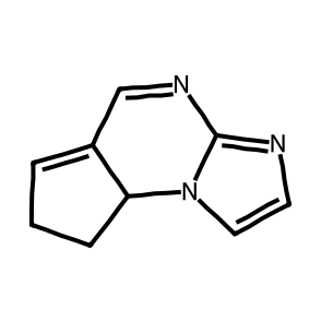 C1=Nc2nccn2C2CCC=C12